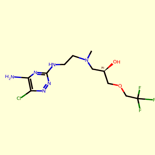 CN(CCNc1nnc(Cl)c(N)n1)C[C@@H](O)COCC(F)(F)F